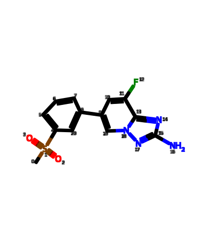 CS(=O)(=O)c1cccc(-c2cc(F)c3nc(N)nn3c2)c1